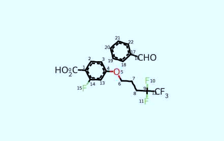 O=C(O)c1ccc(OCCCC(F)(F)C(F)(F)F)cc1F.O=Cc1ccccc1